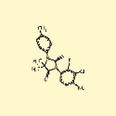 [C-]#[N+]c1ccc(N2C(=O)C(C)(C)N(c3ccc(C)cc3)C2=S)c(F)c1Cl